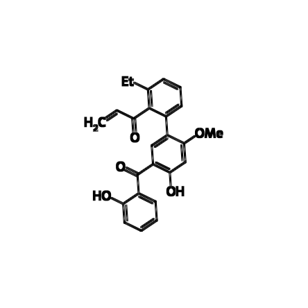 C=CC(=O)c1c(CC)cccc1-c1cc(C(=O)c2ccccc2O)c(O)cc1OC